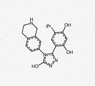 CC(C)c1cc(-c2nnc(O)n2-c2ccc3c(c2)CNCC3)c(O)cc1O